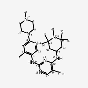 Cc1cc(N2CCN(C)CC2)ncc1Nc1ncc(F)c(NC2CC(C)(C)N(C)C(C)(C)C2)n1